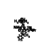 CNC(=O)c1c(OC(C)c2ccccc2)cc(-c2cnn(C(C)C)c2)n1COCC[Si](C)(C)C